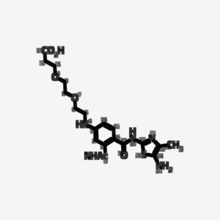 CC(=O)Nc1cc(NCCOCCOCCC(=O)O)ccc1C(=O)Nc1nc(C)c(N)s1